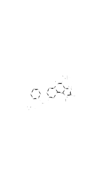 CCCCc1nc2c(N)nc3ccc(OC(OC)c4ccccc4)cc3c2n1C